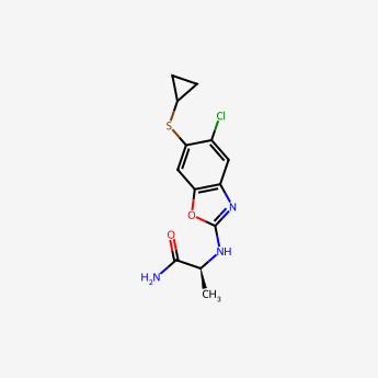 C[C@H](Nc1nc2cc(Cl)c(SC3CC3)cc2o1)C(N)=O